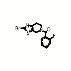 O=C(c1ccccc1F)N1CCc2nc(Br)sc2C1